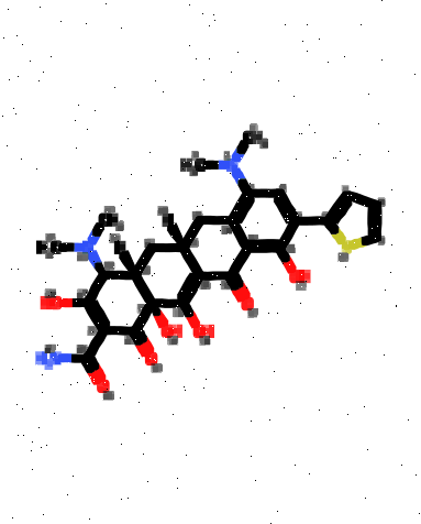 CN(C)c1cc(-c2cccs2)c(O)c2c1C[C@H]1C[C@H]3[C@H](N(C)C)C(O)=C(C(N)=O)C(=O)[C@@]3(O)C(O)=C1C2=O